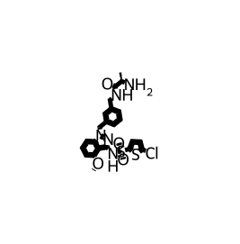 COc1cccc2c1c(NS(=O)(=O)c1ccc(Cl)s1)nn2Cc1cccc(CNC(=O)[C@@H](C)N)c1